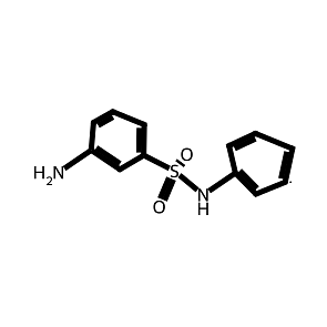 Nc1cccc(S(=O)(=O)Nc2c[c]ccc2)c1